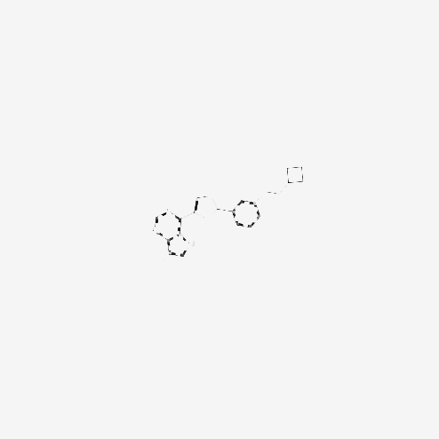 CCOC(=O)c1c[nH]c2c(C3=COC(c4cccc(OCC5CCC5)c4)O3)ncnc12